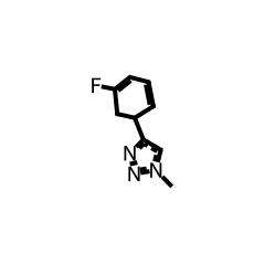 Cn1cc(C2C=CC=C(F)C2)nn1